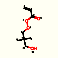 C=CC(=O)OOCC(C)(C)CO